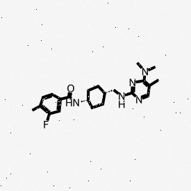 Cc1ccc(C(=O)N[C@H]2CC[C@@H](CNc3ncc(C)c(N(C)C)n3)CC2)cc1F